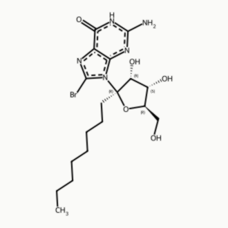 CCCCCCCC[C@@]1(n2c(Br)nc3c(=O)[nH]c(N)nc32)O[C@H](CO)[C@@H](O)[C@H]1O